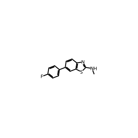 CNc1nc2ccc(-c3ccc(F)cc3)cc2s1